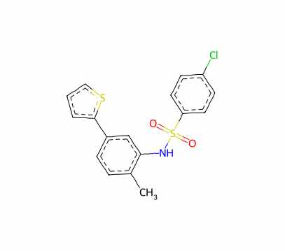 Cc1ccc(-c2cccs2)cc1NS(=O)(=O)c1ccc(Cl)cc1